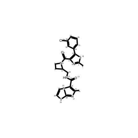 Cc1nc(C(=O)N2CCC2CNC(=O)c2c(C)nc3sccn23)c(-c2cccc(Cl)c2)s1